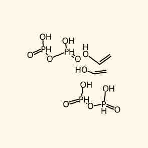 C=CO.C=CO.O=[PH](O)O[PH](=O)O.O=[PH](O)O[PH](=O)O